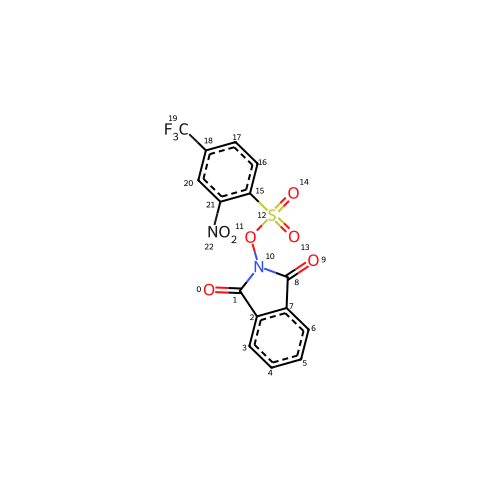 O=C1c2ccccc2C(=O)N1OS(=O)(=O)c1ccc(C(F)(F)F)cc1[N+](=O)[O-]